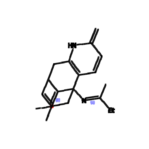 C=C1C=CC2=C(CC3C=C(C)CC2(/N=C(\C)CC)/C3=C/C)N1